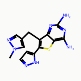 Cn1cc(Cc2c(-c3ccn[nH]3)sc3c(N)nc(N)nc23)cn1